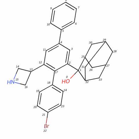 OC1(c2cc(-c3ccccc3)cc(C3CNC3)c2-c2ccc(Br)cc2)C2CC3CC(C2)CC1C3